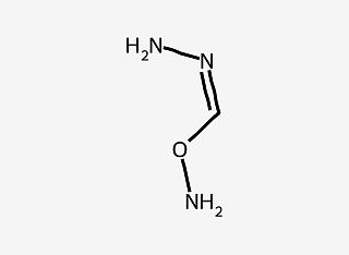 N/N=C\ON